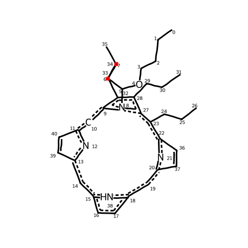 CCCCOC(CC)n1c2cc3nc(cc4ccc(cc5nc(c(CCC)c1c(CCC)c2CCC)C=C5)[nH]4)C=C3